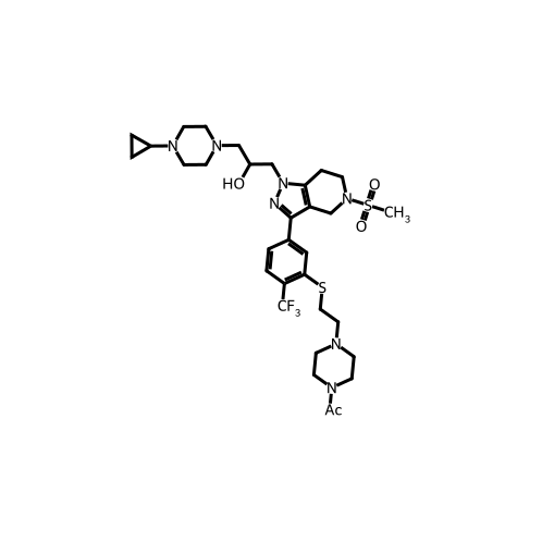 CC(=O)N1CCN(CCSc2cc(-c3nn(CC(O)CN4CCN(C5CC5)CC4)c4c3CN(S(C)(=O)=O)CC4)ccc2C(F)(F)F)CC1